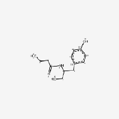 CCCC(=O)NC(CO)Cc1ccc(O)cc1